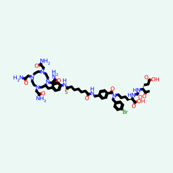 CC(=O)[C@@H](CCC(=O)O)NC(=O)N[C@H](CCCCN(Cc1ccc(Br)cc1)C(=O)c1ccc(CNC(=O)CCCCCC(=S)Nc2ccc(CC3CN(CC(N)=O)CCN(CC(N)=O)CCN(CC(N)=O)CCN3CC(N)=O)cc2)cc1)C(=O)O